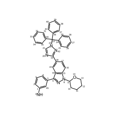 [NH]c1cccc(-c2nn(C3CCCCO3)c3ccc(-c4ncn(C(c5ccccc5)(c5ccccc5)c5ccccc5)n4)cc23)c1